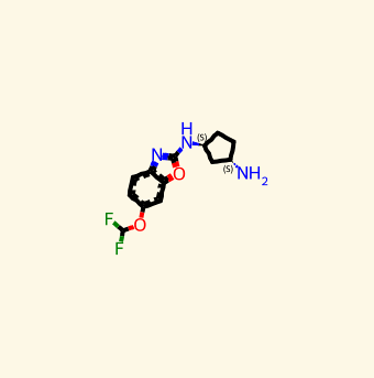 N[C@H]1CC[C@H](Nc2nc3ccc(OC(F)F)cc3o2)C1